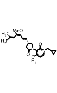 COC(/C=C(\C)P)=C/C=C/[C@H]1CC(=O)N(c2c(C)ccn(CC3CC3)c2=O)C1